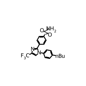 CCCCc1ccc(-n2cc(C(F)(F)F)nc2-c2ccc(S(N)(=O)=O)cc2)cc1